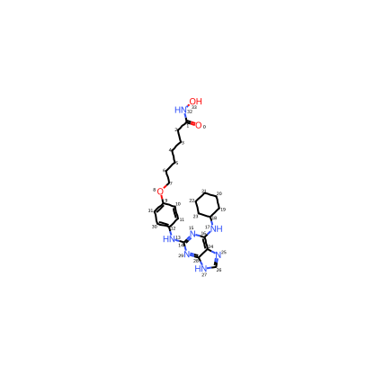 O=C(CCCCCCOc1ccc(Nc2nc(NC3CCCCC3)c3nc[nH]c3n2)cc1)NO